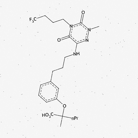 CCCC(C)(Oc1cccc(CCCNc2nn(C)c(=O)n(CCCC(F)(F)F)c2=O)c1)C(=O)O